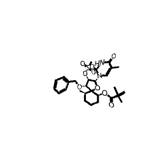 Cc1cn([C@@H]2OC3([C@H](C)CCC[C@@H]3OC(=O)C(C)(C)C)[C@H](OCc3ccccc3)[C@H]2OS(C)(=O)=O)c(=O)[nH]c1=O